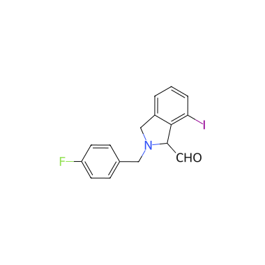 O=CC1c2c(I)cccc2CN1Cc1ccc(F)cc1